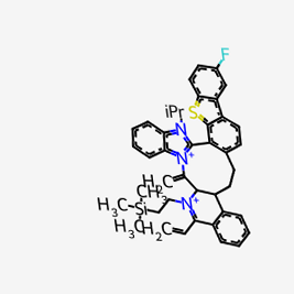 C=CC1=[N+](CC[Si](C)(C)C)C2C(=C)[n+]3c(n(C(C)C)c4ccccc43)-c3c(ccc4c3sc3ccc(F)cc34)CCC2c2ccccc21